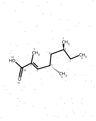 CC[C@H](C)C[C@H](C)/C=C(\C)C(=O)O